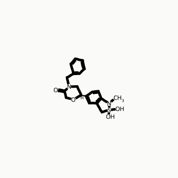 CN1c2ccc([C@@H]3CN(Cc4ccccc4)C(=O)CO3)cc2CS1(O)O